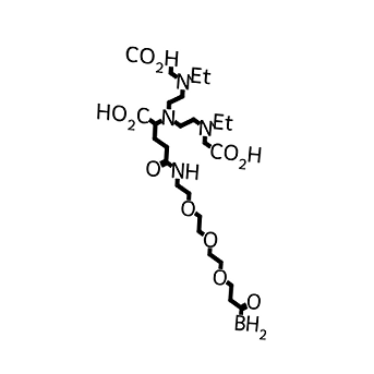 BC(=O)CCOCCOCCOCCNC(=O)CCC(C(=O)O)N(CCN(CC)CC(=O)O)CCN(CC)CC(=O)O